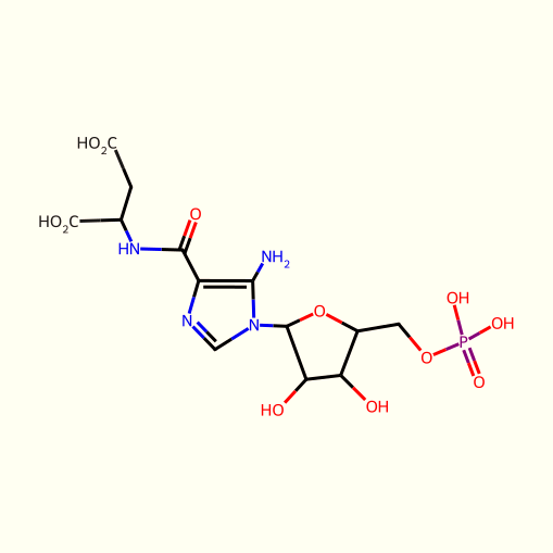 Nc1c(C(=O)NC(CC(=O)O)C(=O)O)ncn1C1OC(COP(=O)(O)O)C(O)C1O